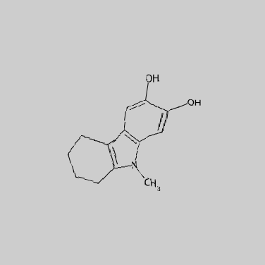 Cn1c2c(c3cc(O)c(O)cc31)CCCC2